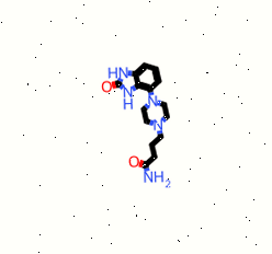 NC(=O)CCCN1CCN(c2cccc3[nH]c(=O)[nH]c23)CC1